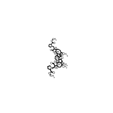 C=C1CC[C@H]2C(CN3CCCC3C(=O)OC)C(=O)O[C@@H]2[C@H]2[C@H]3CCC[C@]4(C(=O)C[C@@H]5[C@H]4[C@H]4OC(=O)C(CN6CCCC6C(=O)OC)[C@@H]4CCC5(C)C)[C@@]3(O)C[C@@H]12